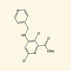 COC(=O)c1nc(Cl)cc(NCc2ccncc2)c1Cl